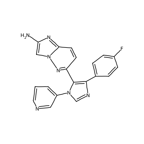 Nc1cn2nc(-c3c(-c4ccc(F)cc4)ncn3-c3cccnc3)ccc2n1